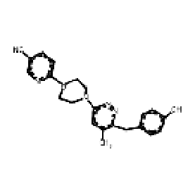 Cc1cc(N2CCN(c3ccc(C#N)cn3)CC2)nnc1Cc1ccc(O)cc1